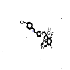 OC(Cn1ccc(/C=C/c2ccc(Cl)cc2)c1)(Cn1cncn1)c1ccc(F)cc1F